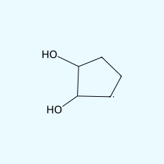 OC1[CH]CCC1O